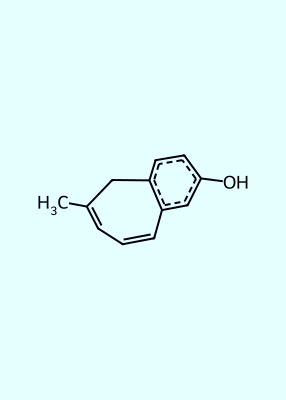 CC1=CC=Cc2cc(O)ccc2C1